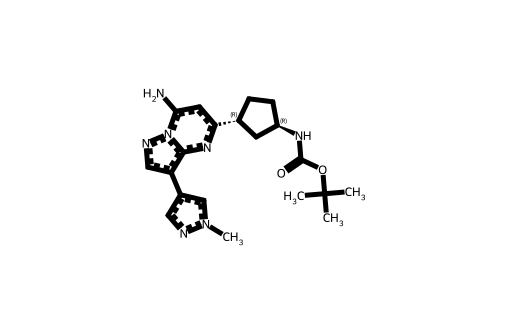 Cn1cc(-c2cnn3c(N)cc([C@@H]4CC[C@@H](NC(=O)OC(C)(C)C)C4)nc23)cn1